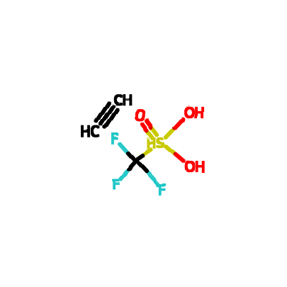 C#C.O=[SH](O)(O)C(F)(F)F